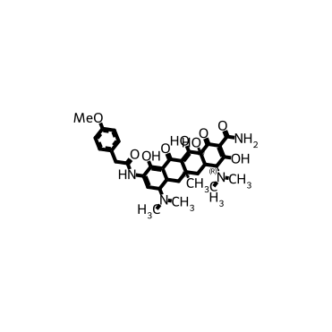 COc1ccc(CC(=O)NC2=CC(N(C)C)C3C[C@@]4(C)CC5[C@@H](N(C)C)C(O)=C(C(N)=O)C(=O)[C@@]5(O)C(O)=C4C(=O)C3=C2O)cc1